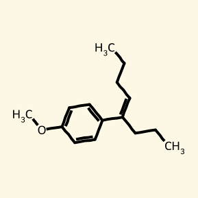 CCC/C=C(/CCC)c1ccc(OC)cc1